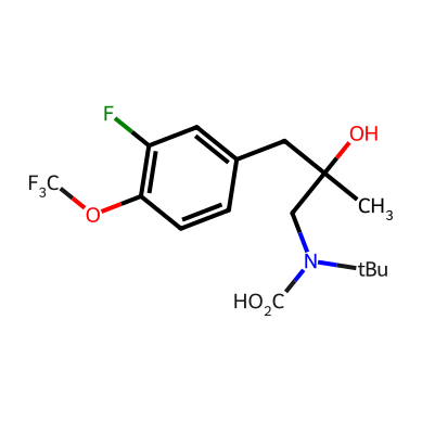 CC(O)(Cc1ccc(OC(F)(F)F)c(F)c1)CN(C(=O)O)C(C)(C)C